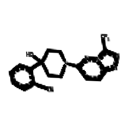 N#Cc1ccccc1C1(O)CCN(c2ccc3nnc(C(F)(F)F)n3n2)CC1